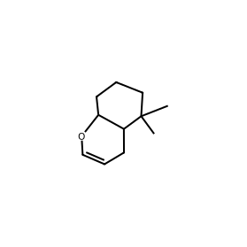 CC1(C)CCCC2OC=CCC21